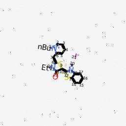 CCCC[n+]1ccccc1C=c1sc(=C2Sc3ccccc3N2C)c(=O)n1CC.[I-]